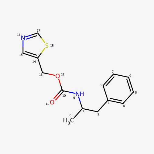 CC(Cc1ccccc1)NC(=O)OCc1cncs1